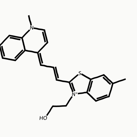 Cc1ccc2c(c1)sc(/C=C/C=C1\C=CN(C)c3ccccc31)[n+]2CCO